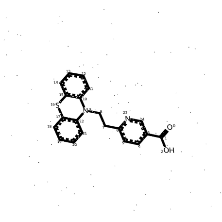 O=C(O)c1ccc(CCN2c3ccccc3Sc3ccccc32)nc1